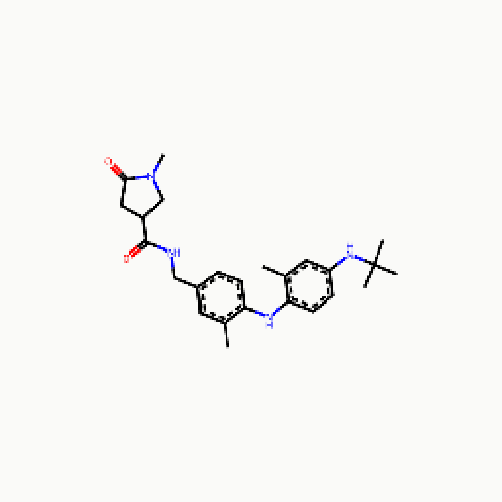 Cc1cc(CNC(=O)C2CC(=O)N(C)C2)ccc1Nc1ccc(NC(C)(C)C)cc1C